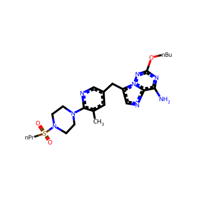 CCCCOc1nc(N)c2ncc(Cc3cnc(N4CCN(S(=O)(=O)CCC)CC4)c(C)c3)n2n1